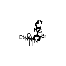 CCNC(=O)Nc1cc(-c2nc(CC(C)C)cs2)c(Br)cn1